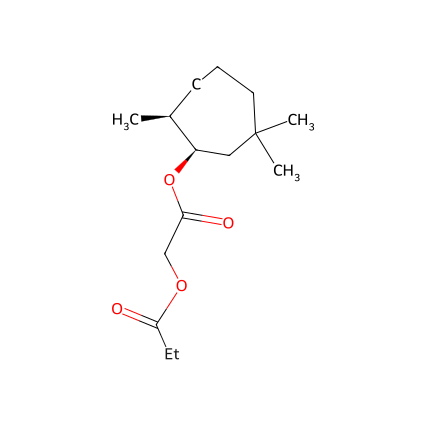 CCC(=O)OCC(=O)O[C@@H]1CC(C)(C)CCC[C@@H]1C